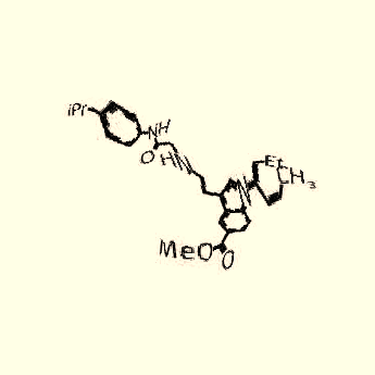 C/C=C\C(=C/CC)n1cc(CCNCC(=O)Nc2ccc(C(C)C)cc2)c2cc(C(=O)OC)ccc21